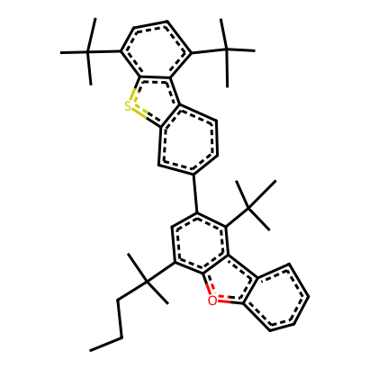 CCCC(C)(C)c1cc(-c2ccc3c(c2)sc2c(C(C)(C)C)ccc(C(C)(C)C)c23)c(C(C)(C)C)c2c1oc1ccccc12